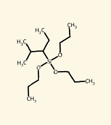 CCCO[Si](OCCC)(OCCC)C(CC)C(C)C